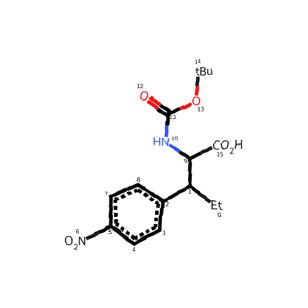 CCC(c1ccc([N+](=O)[O-])cc1)C(NC(=O)OC(C)(C)C)C(=O)O